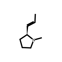 C/C=C/[C@@H]1CCCN1C